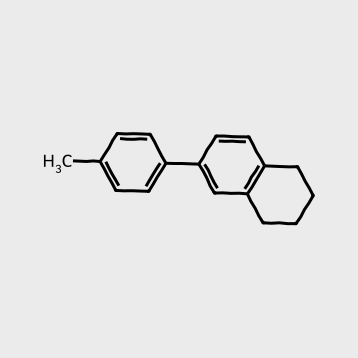 Cc1ccc(-c2ccc3c(c2)CCCC3)cc1